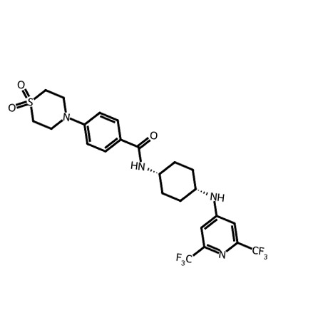 O=C(N[C@H]1CC[C@@H](Nc2cc(C(F)(F)F)nc(C(F)(F)F)c2)CC1)c1ccc(N2CCS(=O)(=O)CC2)cc1